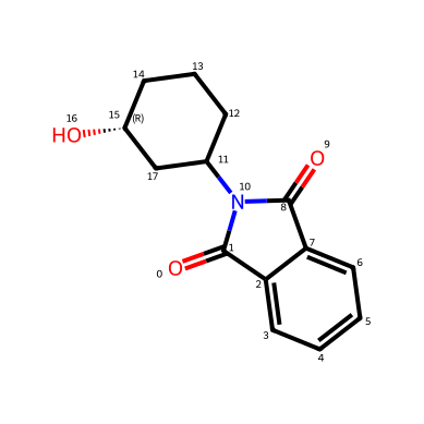 O=C1c2ccccc2C(=O)N1C1CCC[C@@H](O)C1